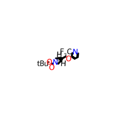 CC(C)(C)OC(=O)N1C[C@@H]2C(COc3cccnc3C(F)(F)F)[C@@H]2C1